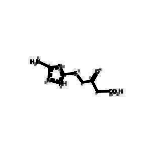 Nc1n[nH]c(SCC(=O)CC(=O)O)n1